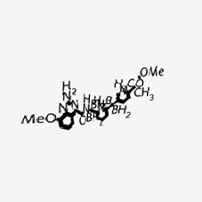 BC(B)(NC(=O)c1nc(N)nc2c(OC)cccc12)c1cccc(C(B)(B)c2ccc(C(C)(C)OCOC)nc2)n1